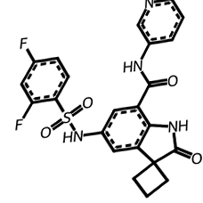 O=C(Nc1cccnc1)c1cc(NS(=O)(=O)c2ccc(F)cc2F)cc2c1NC(=O)C21CCC1